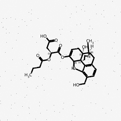 CCCC(=O)O[C@@H](CC(=O)O)C(=O)OC1=CC[C@@]2(O)[C@H]3Cc4ccc(CO)c5c4[C@@]2(CCN3C)[C@H]1O5